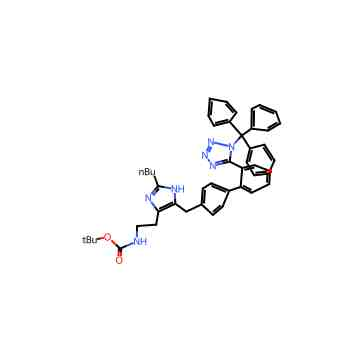 CCCCc1nc(CCNC(=O)OC(C)(C)C)c(Cc2ccc(-c3ccccc3-c3nnnn3C(c3ccccc3)(c3ccccc3)c3ccccc3)cc2)[nH]1